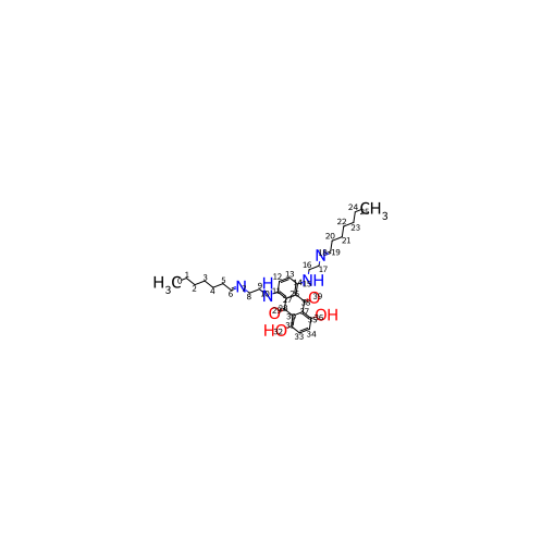 CCCCCC/C=N/CCNc1ccc(NCC/N=C/CCCCCC)c2c1C(=O)c1c(O)ccc(O)c1C2=O